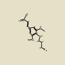 COc1cc(C=C[N+](=O)[O-])cc(OC)c1OCCCF